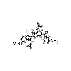 COc1ccc2cc(-c3nc4cc(C(=O)N5CCC[P@@](N)C5)cc(OC(F)F)c4n3C)n(CC3CC3)c2n1